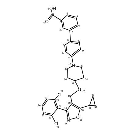 O=C(O)c1cccc(-c2ccc(N3CCC(OCc4c(-c5c(Cl)cccc5Cl)noc4C4CC4)CC3)cc2)c1